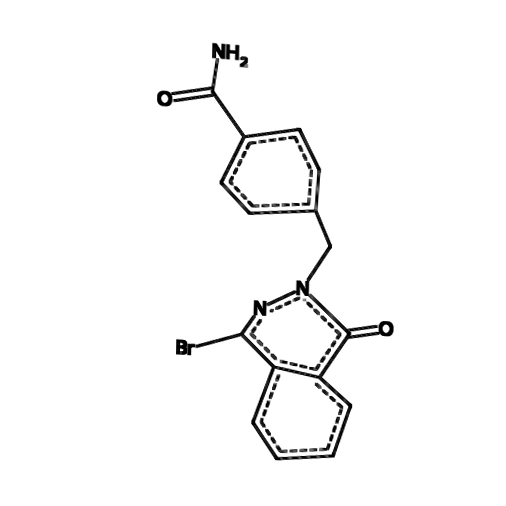 NC(=O)c1ccc(Cn2nc(Br)c3ccccc3c2=O)cc1